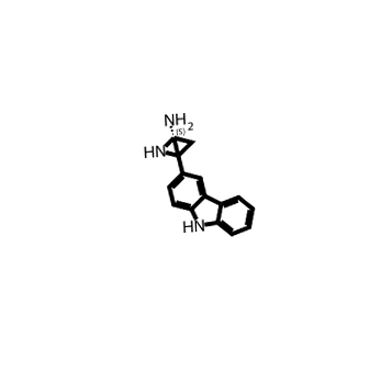 N[C@]12CC1(c1ccc3[nH]c4ccccc4c3c1)N2